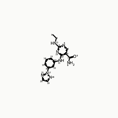 CCNc1ncc(C(N)=O)c(Nc2cccc(-n3nccn3)c2)n1